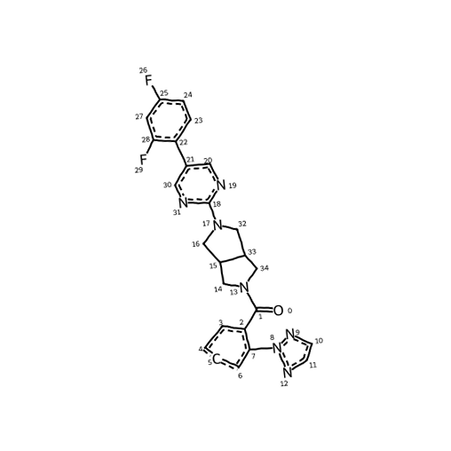 O=C(c1ccccc1-n1nccn1)N1CC2CN(c3ncc(-c4ccc(F)cc4F)cn3)CC2C1